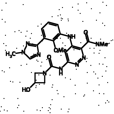 CNC(=O)c1nnc(NC(=O)N2CC(O)C2)cc1Nc1cccc(-c2ncn(C)n2)c1OC